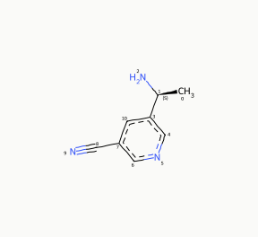 C[C@H](N)c1cncc(C#N)c1